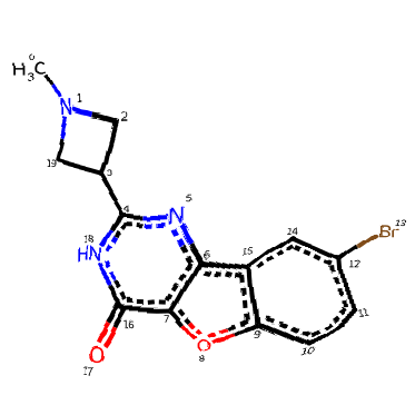 CN1CC(c2nc3c(oc4ccc(Br)cc43)c(=O)[nH]2)C1